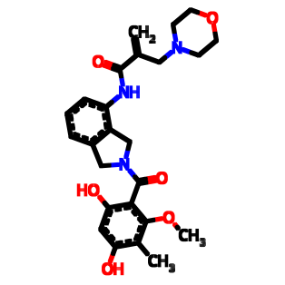 C=C(CN1CCOCC1)C(=O)Nc1cccc2c1CN(C(=O)c1c(O)cc(O)c(C)c1OC)C2